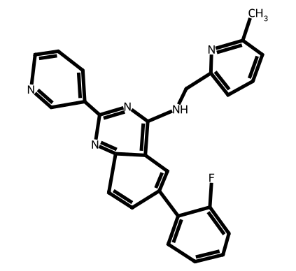 Cc1cccc(CNc2nc(-c3cccnc3)nc3ccc(-c4ccccc4F)cc23)n1